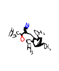 CC(=O)C(C#N)c1c(C)cc(C)cc1C